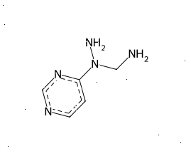 NCN(N)c1ccncn1